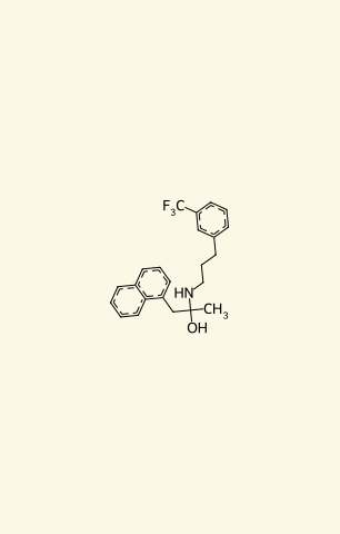 CC(O)(Cc1cccc2ccccc12)NCCCc1cccc(C(F)(F)F)c1